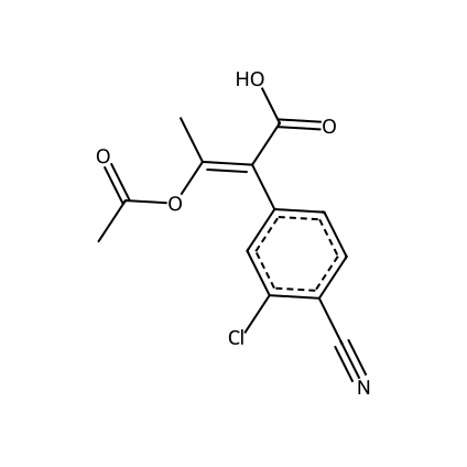 CC(=O)O/C(C)=C(/C(=O)O)c1ccc(C#N)c(Cl)c1